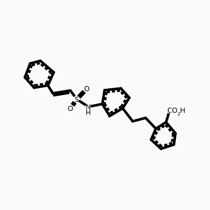 O=C(O)c1ccccc1CCc1cccc(NS(=O)(=O)/C=C/c2ccccc2)c1